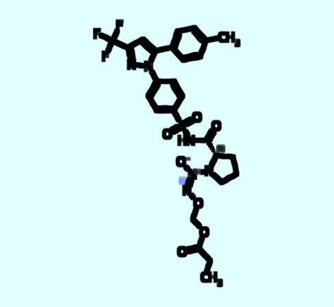 CCC(=O)OCO/N=[N+](/[O-])N1CCC[C@H]1C(=O)NS(=O)(=O)c1ccc(-n2nc(C(F)(F)F)cc2-c2ccc(C)cc2)cc1